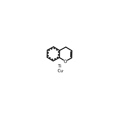 C1=COc2ccccc2C1.[Cu].[Ti]